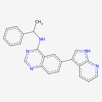 CC(Nc1ncnc2ccc(-c3c[nH]c4ncccc34)cc12)c1ccccc1